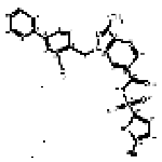 Cc1nn(Cc2ccc(-c3ccccc3)cc2Cl)c2cc(C(=O)NS(=O)(=O)c3ccc(Br)s3)ccc12